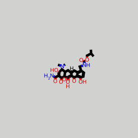 CC(C)COC(=O)NCc1ccc(O)c2c1C[C@H]1CC3[C@H](N(C)C)C(O)=C(C(N)=O)C(=O)[C@@]3(O)C(O)=C1C2=O